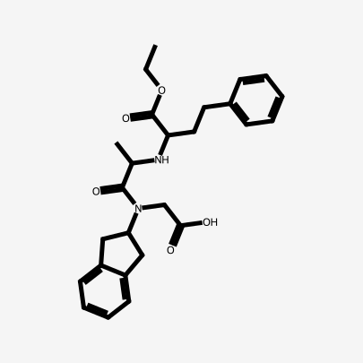 CCOC(=O)C(CCc1ccccc1)NC(C)C(=O)N(CC(=O)O)C1Cc2ccccc2C1